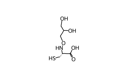 O=C(O)[C@H](CS)NOCC(O)CO